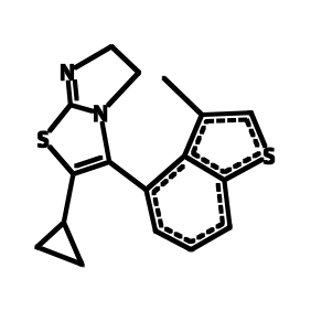 Cc1csc2cccc(C3=C(C4CC4)SC4=NCCN43)c12